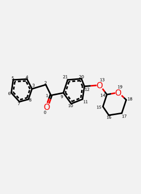 O=C(Cc1ccccc1)c1ccc(OC2CCCCO2)cc1